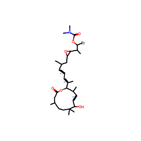 CCC(OC(=O)N(C)C)C(C)C1OC1CC(C)/C=C/C=C(\C)C1OC(=O)CC(C)CCC(C)(C)C(O)/C=C/C1C